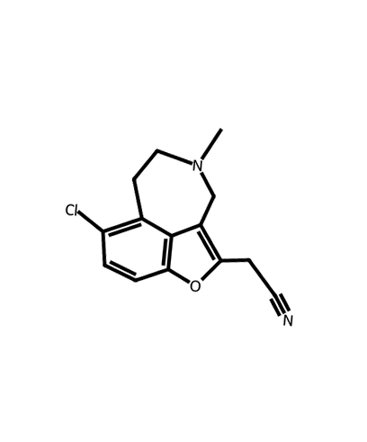 CN1CCc2c(Cl)ccc3oc(CC#N)c(c23)C1